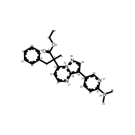 CCOC(=O)C(C)(Cc1ccccc1)c1ccnc2c(-c3ccc(N(C)C)nc3)cnn12